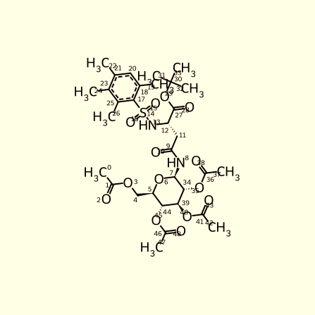 CC(=O)OC[C@H]1O[C@@H](NC(=O)C[C@H](NS(=O)(=O)c2c(C)cc(C)c(C)c2C)C(=O)OC(C)(C)C)[C@H](OC(C)=O)[C@@H](OC(C)=O)[C@@H]1OC(C)=O